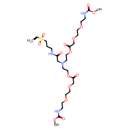 C=CS(=O)(=O)CCCNC(=O)CN(CCOC(=O)COCCOCCNC(=O)OCCC)CCOC(=O)COCCOCCNC(=O)OCCC